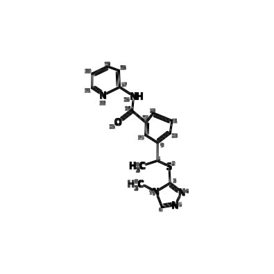 CC(Sc1nncn1C)c1cccc(C(=O)Nc2ccccn2)c1